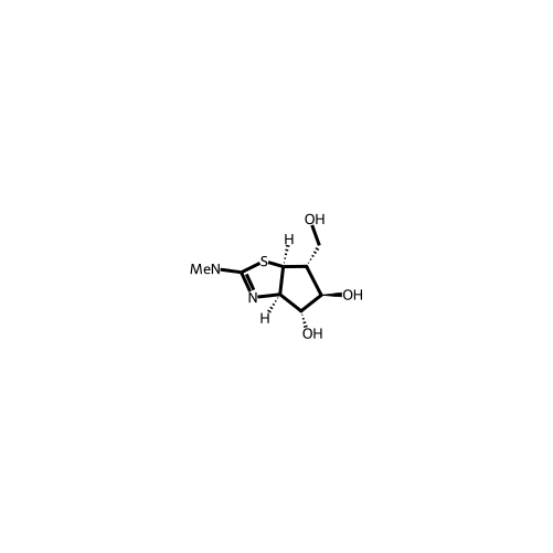 CNC1=N[C@@H]2[C@@H](O)[C@H](O)[C@@H](CO)[C@@H]2S1